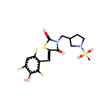 CS(=O)(=O)N1CCC(CN2C(=O)S/C(=C\c3c(F)cc(F)c(O)c3F)C2=O)C1